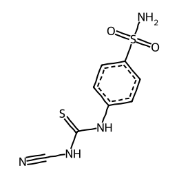 N#CNC(=S)Nc1ccc(S(N)(=O)=O)cc1